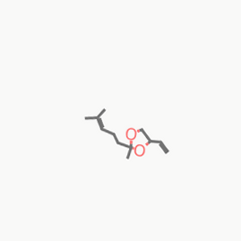 C=CC1COC(C)(CCC=C(C)C)O1